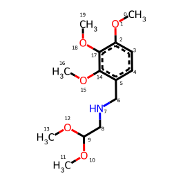 COc1ccc(CNCC(OC)OC)c(OC)c1OC